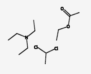 CC(Cl)Cl.CCN(CC)CC.CCOC(C)=O